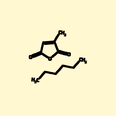 CC1=CC(=O)OC1=O.CCCCCC